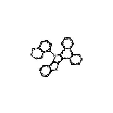 c1ccc2c(-n3c4c5ccccc5sc4c4c5ccccc5c5ccccc5c43)cccc2c1